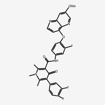 COc1cnc2c(Oc3ccc(NC(=O)c4c(C)n(C)c(C)c(-c5ccc(F)c(F)c5)c4=O)cc3F)ccnc2c1